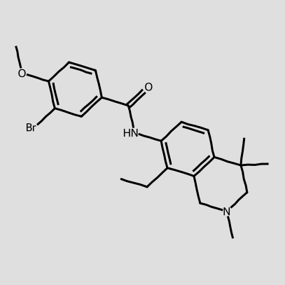 CCc1c(NC(=O)c2ccc(OC)c(Br)c2)ccc2c1CN(C)CC2(C)C